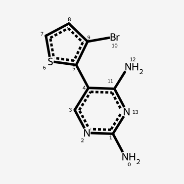 Nc1ncc(-c2sccc2Br)c(N)n1